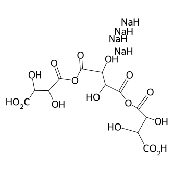 O=C(O)C(O)C(O)C(=O)OC(=O)C(O)C(O)C(=O)OC(=O)C(O)C(O)C(=O)O.[NaH].[NaH].[NaH].[NaH]